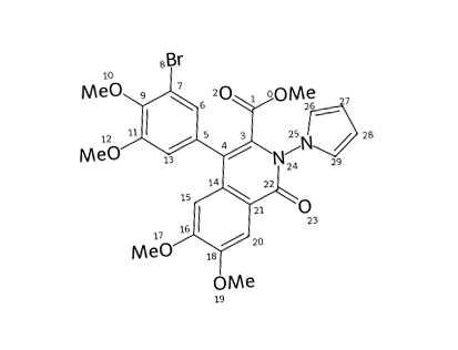 COC(=O)c1c(-c2cc(Br)c(OC)c(OC)c2)c2cc(OC)c(OC)cc2c(=O)n1-n1cccc1